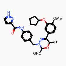 CCC1OC(C=O)N(Cc2ccc(NC(=O)c3cc[nH]n3)cc2)N=C1c1ccc(OC)c(OC2CCCC2)c1